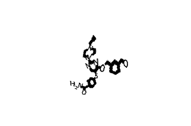 C#CCN1CCN(c2ncc(Sc3ccc(C(N)=O)cc3)c(OCc3cccc(C=O)c3)n2)CC1